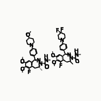 CNC(=O)N1N=C(c2ccc(N3CCC(F)(F)CC3)cc2)c2cc(OC)c(OC)c(F)c2CC1C.CNC(=O)N1N=C(c2ccc(N3CCC(OC)CC3)cc2)c2cc(OC)c(OC)c(F)c2C[C@H]1C